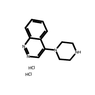 Cl.Cl.c1ccc2c(N3CCNCC3)cnnc2c1